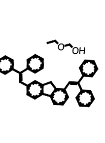 C(=C(c1ccccc1)c1ccccc1)c1ccc2c(c1)Cc1c(C=C(c3ccccc3)c3ccccc3)cccc1-2.CCOCO